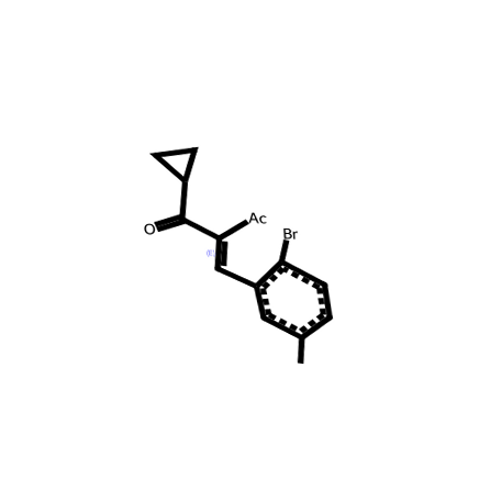 CC(=O)/C(=C\c1cc(C)ccc1Br)C(=O)C1CC1